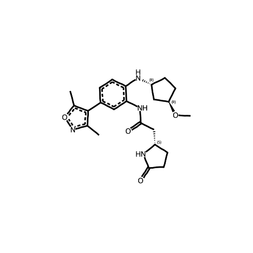 CO[C@@H]1CC[C@@H](Nc2ccc(-c3c(C)noc3C)cc2NC(=O)C[C@@H]2CCC(=O)N2)C1